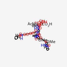 COc1cc2c(cc1OCCCCCOc1cc3c(cc1OC)C(=O)N1CC4(CC4)C[C@H]1CN3C(=O)OCc1ccc(NC(=O)[C@H](CO[C@@H]3O[C@H](C(=O)O)[C@@H](O)[C@H](O)[C@H]3O)NC(=O)[C@@H](NC(C)=O)C(C)C)cc1NC(=O)CCOCCOCCOCCOCCNC(=O)OCC1[C@H]3CCC#CCC[C@@H]13)NC[C@@H]1Cc3ccccc3CN1C2=O